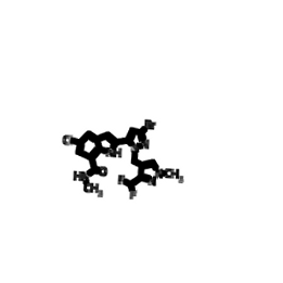 CNC(=O)c1cc(Cl)cc2cc(-c3cc(Br)nn3Cc3cn(C)nc3C(F)F)[nH]c12